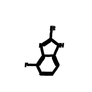 CCc1nc2c(F)[c]ccc2[nH]1